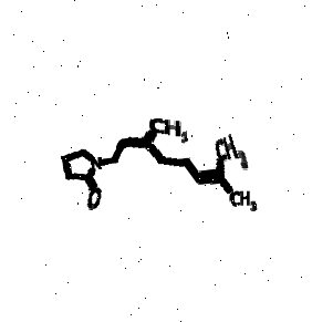 CC(C)=CCCC(C)=CCN1CCCC1=O